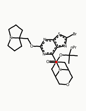 CCCC(C)(C)OC(=O)N1C2COCC1CN(c1nc(OCC34CCCN3CCC4)nc3sc(Br)nc13)C2